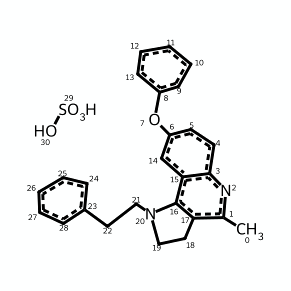 Cc1nc2ccc(Oc3ccccc3)cc2c2c1CCN2CCc1ccccc1.O=S(=O)(O)O